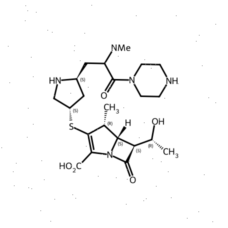 CNC(C[C@H]1C[C@H](SC2=C(C(=O)O)N3C(=O)[C@H]([C@@H](C)O)[C@H]3[C@H]2C)CN1)C(=O)N1CCNCC1